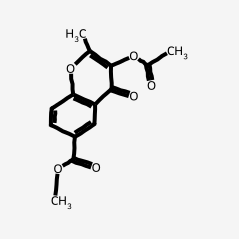 COC(=O)c1ccc2oc(C)c(OC(C)=O)c(=O)c2c1